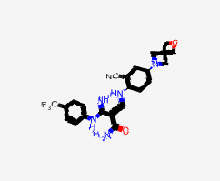 N#CC1C[C@H](N2CC3(COC3)C2)CC[C@@H]1N/C=C(\C(=N)NC1=CCC(C(F)(F)F)C=C1)C(N)=O